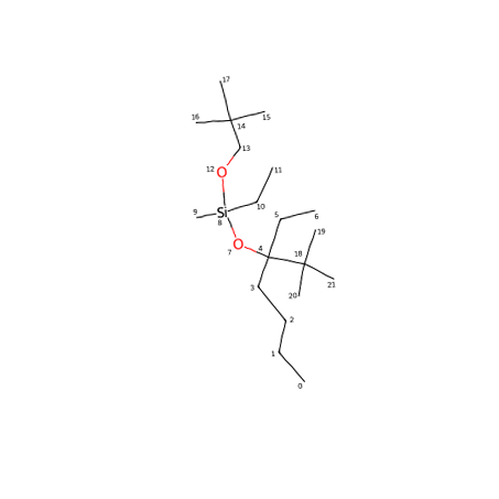 CCCCC(CC)(O[Si](C)(CC)OCC(C)(C)C)C(C)(C)C